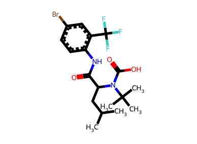 CC(C)CC(C(=O)Nc1ccc(Br)cc1C(F)(F)F)N(C(=O)O)C(C)(C)C